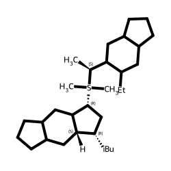 CCC1CC2CCCC2CC1[C@H](C)S(C)(C)[C@@H]1C[C@H](C(C)CC)[C@@H]2CC3CCCC3CC21